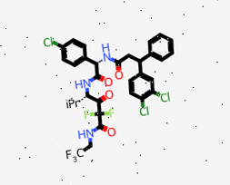 CC(C)[C@H](NC(=O)[C@@H](NC(=O)CC(c1ccccc1)c1ccc(Cl)c(Cl)c1)c1ccc(Cl)cc1)C(=O)C(F)(F)C(=O)NCC(F)(F)F